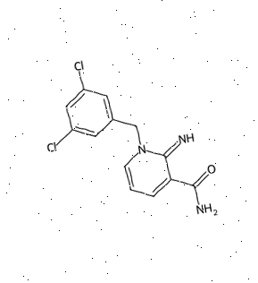 N=c1c(C(N)=O)cccn1Cc1cc(Cl)cc(Cl)c1